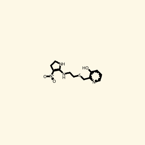 O=[N+]([O-])C1=C(NCCSCc2ncccc2O)NCC1